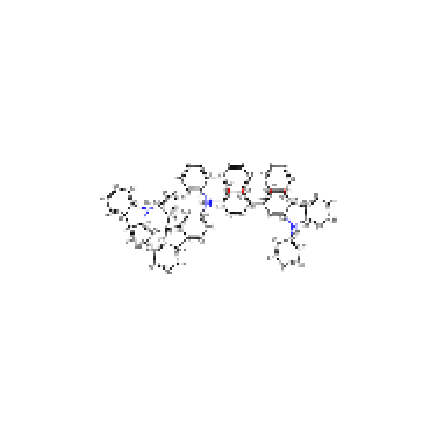 c1ccc(-c2ccc(-c3ccccc3N(c3ccc(-c4ccc5c6ccccc6n(-c6ccccc6)c5c4)cc3)c3ccc4c(c3)C3(c5ccccc5-4)c4ccccc4-n4c5ccccc5c5cccc3c54)cc2)cc1